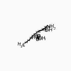 CCCCCCCCCCCCCCCCC(O)CN.O=S(=O)(O)O